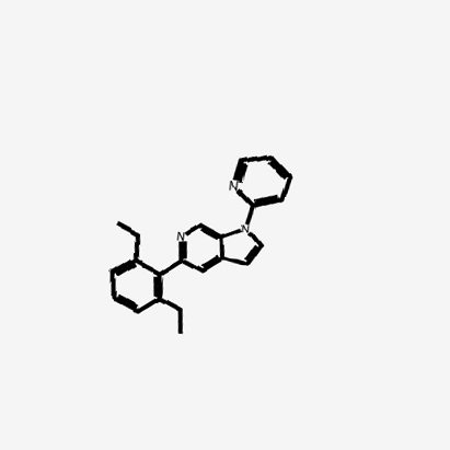 CCc1cccc(CC)c1-c1cc2ccn(-c3ccccn3)c2cn1